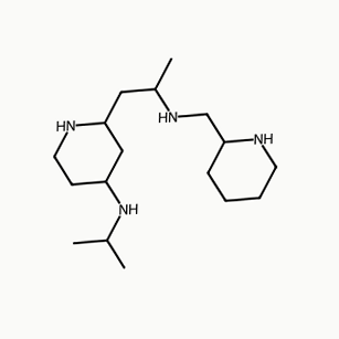 CC(C)NC1CCNC(CC(C)NCC2CCCCN2)C1